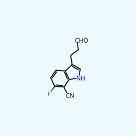 N#Cc1c(F)ccc2c(CCC=O)c[nH]c12